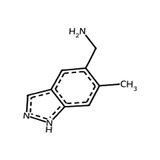 Cc1cc2[nH]ncc2cc1CN